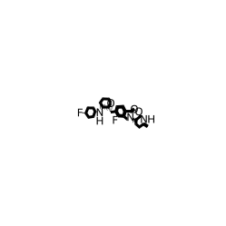 C=C1CC[C@@H](N2Cc3c(ccc(C[C@H]4OCCC[C@@H]4N[C@H]4CC[C@@H](F)CC4)c3F)C2=O)C(=O)N1